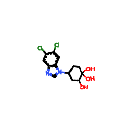 OC1CC(n2cnc3cc(Cl)c(Cl)cc32)CCC1(O)O